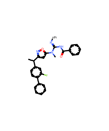 CCC/N=C(\NC(=O)c1ccccc1)N(C)c1cc(C(C)c2ccc(-c3ccccc3)c(F)c2)no1